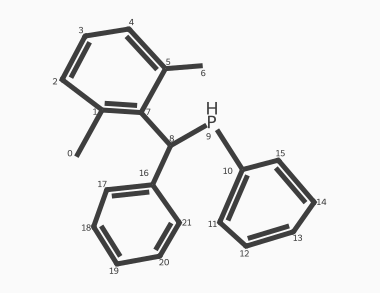 Cc1cccc(C)c1C(Pc1ccccc1)c1ccccc1